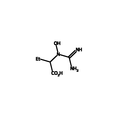 CCC(C(=O)O)N(O)C(=N)N